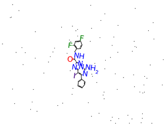 Nc1nc(-c2ccccc2)c(I)c2nc(C(=O)NCc3ccc(F)cc3F)nn12